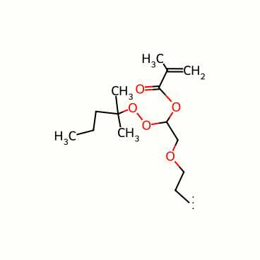 [C]CCOCC(OOC(C)(C)CCC)OC(=O)C(=C)C